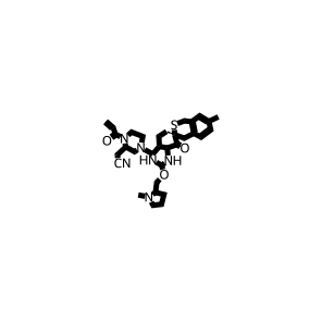 C=CC(=O)N1CCN(C2NC(OCC3CCCN3C)NC3C(=O)[C@]4(CCC32)Cc2ccc(C)cc2CS4)CC1CC#N